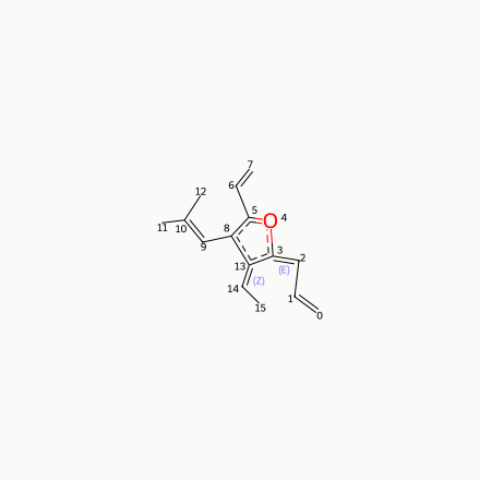 C=C/C=c1/oc(C=C)c(C=C(C)C)/c1=C/C